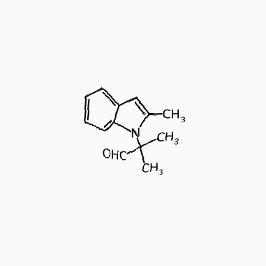 Cc1cc2ccccc2n1C(C)(C)C=O